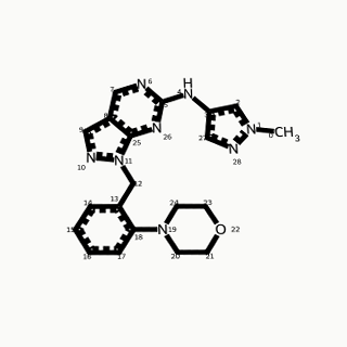 Cn1cc(Nc2ncc3cnn(Cc4ccccc4N4CCOCC4)c3n2)cn1